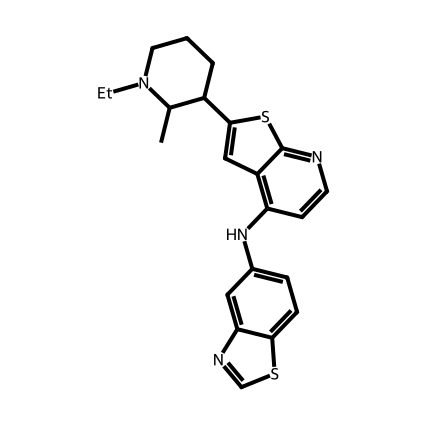 CCN1CCCC(c2cc3c(Nc4ccc5scnc5c4)ccnc3s2)C1C